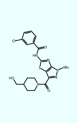 CC(C)(C)n1nc(C(=O)N2CCC(CO)CC2)c2sc(NC(=O)c3cccc(Cl)c3)nc21